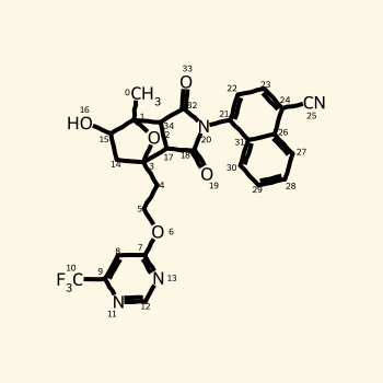 CC12OC(CCOc3cc(C(F)(F)F)ncn3)(CC1O)C1C(=O)N(c3ccc(C#N)c4ccccc34)C(=O)C12